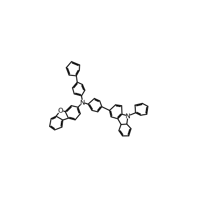 C1=CC2c3cc(-c4ccc(N(c5ccc(-c6ccccc6)cc5)c5ccc6c(c5)oc5ccccc56)cc4)ccc3N(c3ccccc3)C2C=C1